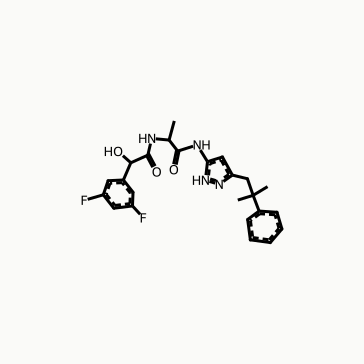 CC(NC(=O)C(O)c1cc(F)cc(F)c1)C(=O)Nc1cc(CC(C)(C)c2ccccc2)n[nH]1